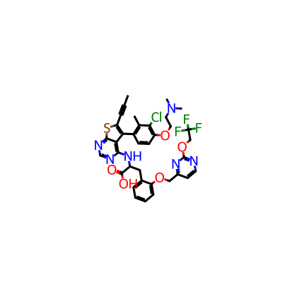 CC#Cc1sc2ncnc(NC(Cc3ccccc3OCc3ccnc(OCC(F)(F)F)n3)C(=O)O)c2c1-c1ccc(OCCN(C)C)c(Cl)c1C